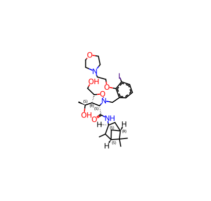 CC1[C@@H](NC(=O)[C@@H]2[C@H]([C@H](C)O)C(CO)ON2Cc2cccc(I)c2OCCN2CCOCC2)C[C@H]2C[C@@H]1C2(C)C